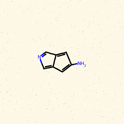 NC1=CC2=CN=CC2=C1